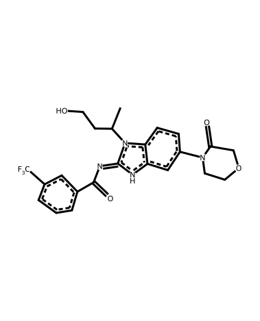 CC(CCO)n1c(=NC(=O)c2cccc(C(F)(F)F)c2)[nH]c2cc(N3CCOCC3=O)ccc21